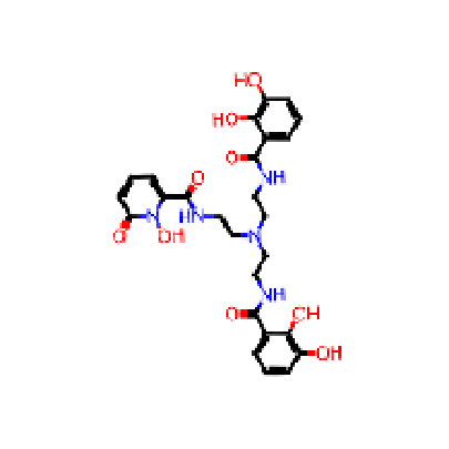 O=C(NCCN(CCNC(=O)c1cccc(O)c1O)CCNC(=O)c1cccc(=O)n1O)c1cccc(O)c1O